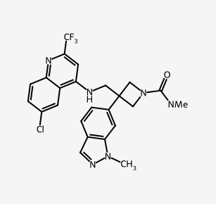 CNC(=O)N1CC(CNc2cc(C(F)(F)F)nc3ccc(Cl)cc23)(c2ccc3cnn(C)c3c2)C1